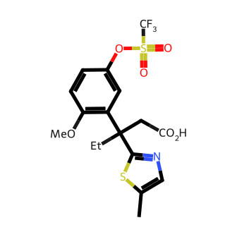 CCC(CC(=O)O)(c1ncc(C)s1)c1cc(OS(=O)(=O)C(F)(F)F)ccc1OC